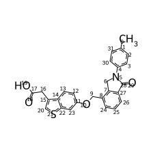 Cc1ccc(N2Cc3c(COc4ccc5c(CC(=O)O)csc5c4)cccc3C2=O)cc1